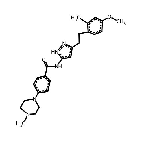 COc1ccc(CCc2cc(NC(=O)c3ccc(N4CCN(C)CC4)cc3)[nH]n2)c(C)c1